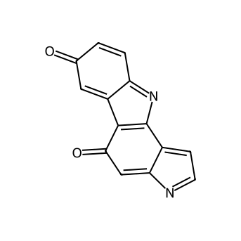 O=c1ccc2nc3c4ccnc-4cc(=O)c=3c-2c1